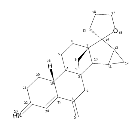 C=C1CC2C(CC[C@@]3(CC)C2C2CC2[C@@]32CCCO2)[C@H]2CCC(=N)C=C12